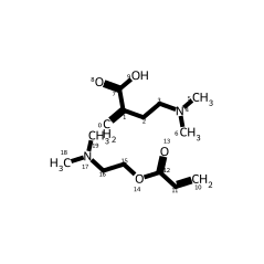 C=C(CCN(C)C)C(=O)O.C=CC(=O)OCCN(C)C